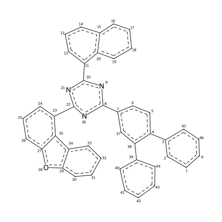 c1ccc(-c2ccc(-c3nc(-c4cccc5ccccc45)nc(-c4cccc5oc6ccccc6c45)n3)cc2-c2ccccc2)cc1